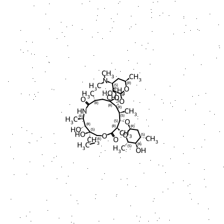 CC[C@H]1OC(=O)[C@H](C)[C@@H](O[C@H]2C[C@H](C)[C@@H](O)[C@H](C)O2)[C@H](C)[C@@H](O[C@@H]2O[C@H](C)C[C@H](N(C)C)[C@H]2O)[C@](C)(OC)C[C@@H](C)C(=O)N[C@H](C)[C@@H](O)[C@]1(C)O